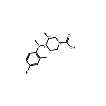 Cc1cc(F)ccc1N(C)[C@@H]1CCN(C(=O)O)C[C@@H]1C